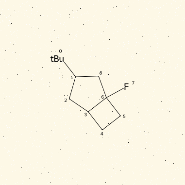 CC(C)(C)C1CC2CCC2(F)C1